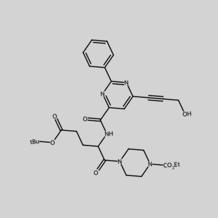 CCOC(=O)N1CCN(C(=O)C(CCC(=O)OC(C)(C)C)NC(=O)c2cc(C#CCO)nc(-c3ccccc3)n2)CC1